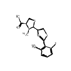 CN1C(C2CSC(c3c(O)cccc3F)=N2)SC[C@@H]1C(=O)O